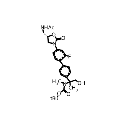 CC(=O)NC[C@H]1CN(c2ccc(-c3ccc(C(C)(CO)N(C)C(=O)OC(C)(C)C)cc3)c(F)c2)C(=O)O1